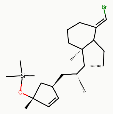 C[C@H](C[C@H]1C=C[C@](C)(O[Si](C)(C)C)C1)[C@H]1CCC2C(=CBr)CCC[C@@]21C